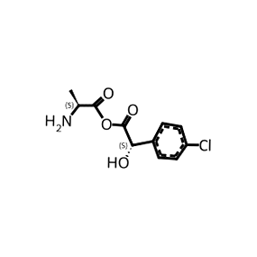 C[C@H](N)C(=O)OC(=O)[C@@H](O)c1ccc(Cl)cc1